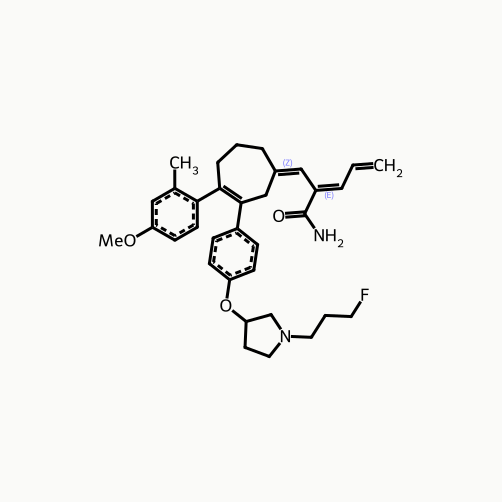 C=C/C=C(\C=C1\CCCC(c2ccc(OC)cc2C)=C(c2ccc(OC3CCN(CCCF)C3)cc2)C1)C(N)=O